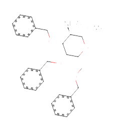 CO[C@@H]1O[C@H](COCc2ccccc2)[C@H](OCc2ccccc2)[C@H](OCc2ccccc2)[C@H]1NC(C)=O